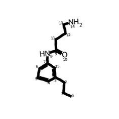 CCCc1cccc(NC(=O)CCCN)c1